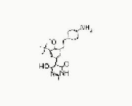 COc1c(/C=C/c2ccc(N)cc2)cc(-c2c(O)nc(C)[nH]c2=O)cc1C(C)(C)C